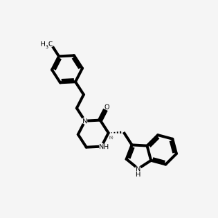 Cc1ccc(CCN2CCN[C@@H](Cc3c[nH]c4ccccc34)C2=O)cc1